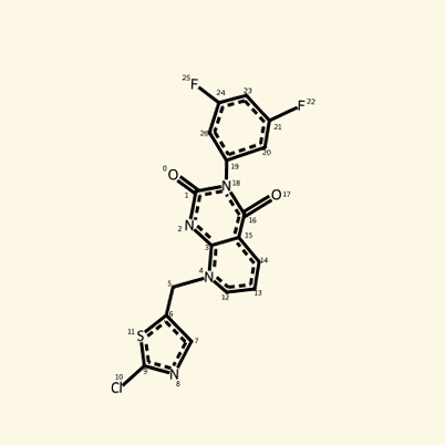 O=c1nc2n(Cc3cnc(Cl)s3)cccc-2c(=O)n1-c1cc(F)cc(F)c1